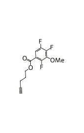 C#CCCCOC(=O)c1cc(F)c(F)c(OC)c1F